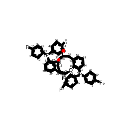 Fc1ccc(P(c2ccc(F)cc2)c2cccc3c2O[C@@H]2CCC[C@H](C3)Oc3c(cccc3P(c3ccc(F)cc3)c3ccc(F)cc3)C2)cc1